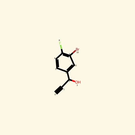 C#CC(O)c1ccc(F)c(Br)c1